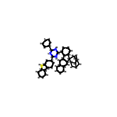 c1ccc(-c2nc(-c3ccc4c(c3)sc3ccccc34)nc(-c3cccc4c3-c3cc5ccccc5cc3C43C4CC5CC(C4)CC3C5)n2)cc1